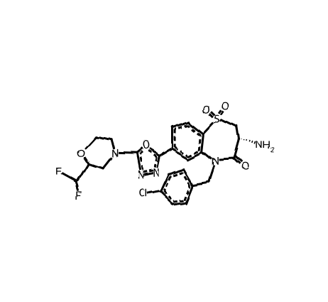 N[C@H]1CS(=O)(=O)c2ccc(-c3nnc(N4CCOC(C(F)F)C4)o3)cc2N(Cc2ccc(Cl)cc2)C1=O